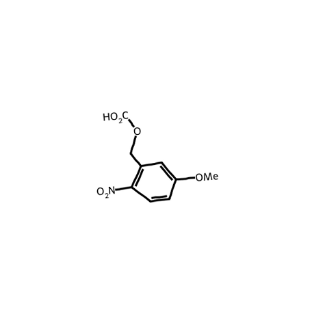 COc1ccc([N+](=O)[O-])c(COC(=O)O)c1